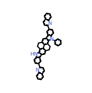 c1ccc(-n2c3ccc(-c4ccc5ccccc5n4)cc3c3cc4c5c(c32)CCc2cc3c([nH]c6ccc(-c7ccc8ccccc8n7)cc63)c(c2-5)CC4)cc1